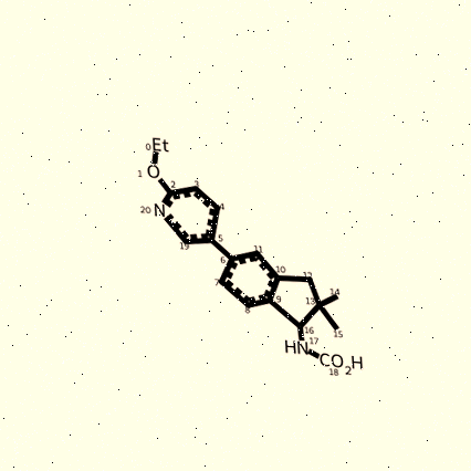 CCOc1ccc(-c2ccc3c(c2)CC(C)(C)C3NC(=O)O)cn1